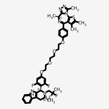 Cc1sc2c(c1C)C(c1ccc(OCCOCCOCCOc3cc(F)c([C@@H]4c5[nH]c6ccccc6c5C[C@@H](C)N4CC(C)(C)F)c(F)c3)cc1)=N[C@@H](C)c1nnc(C)n1-2